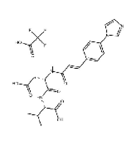 CC(C)[C@H](NC(=O)[C@H](CC(=O)O)NC(=O)C=Cc1ccc(-n2ccnc2)cc1)C(=O)O.O=C(O)C(F)(F)F